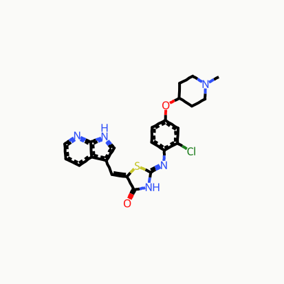 CN1CCC(Oc2ccc(/N=C3/NC(=O)/C(=C/c4c[nH]c5ncccc45)S3)c(Cl)c2)CC1